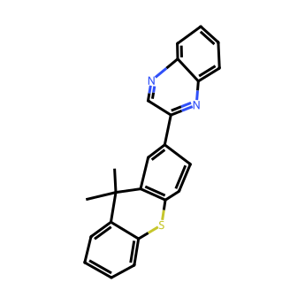 CC1(C)c2ccccc2Sc2ccc(-c3cnc4ccccc4n3)cc21